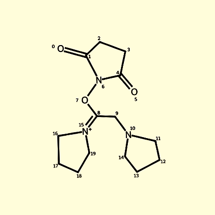 O=C1CCC(=O)N1OC(CN1CCCC1)=[N+]1CCCC1